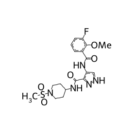 COc1c(F)cccc1C(=O)Nc1c[nH]nc1C(=O)NC1CCN(S(C)(=O)=O)CC1